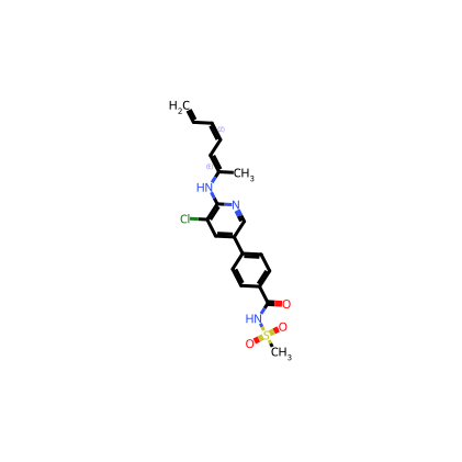 C=C/C=C\C=C(/C)Nc1ncc(-c2ccc(C(=O)NS(C)(=O)=O)cc2)cc1Cl